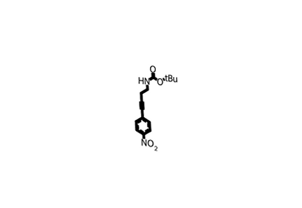 CC(C)(C)OC(=O)NCCC#Cc1ccc([N+](=O)[O-])cc1